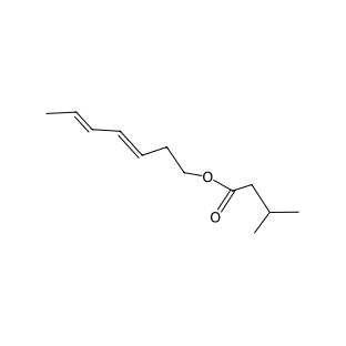 C/C=C/C=C/CCOC(=O)CC(C)C